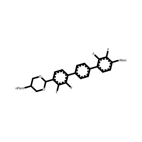 CCCCCCCCCc1ccc(-c2ccc(-c3ccc(C4OCC(CCCCC)CO4)c(F)c3F)cc2)c(F)c1F